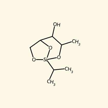 CC1O[Si]2(C(C)C)OCC(O2)C1O